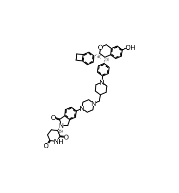 O=C1CC[C@H](N2Cc3cc(N4CCN(CC5CCN(c6ccc([C@H]7c8ccc(O)cc8CO[C@H]7c7ccc8c(c7)CC8)cc6)CC5)CC4)ccc3C2=O)C(=O)N1